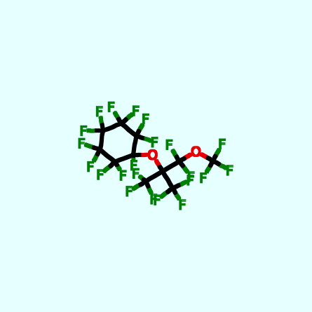 FC(F)(F)OC(F)(F)C(OC1(F)C(F)(F)C(F)(F)C(F)(F)C(F)(F)C1(F)F)(C(F)(F)F)C(F)(F)F